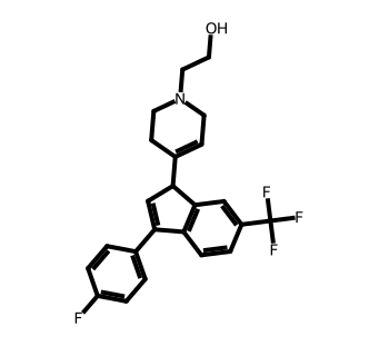 OCCN1CC=C(C2C=C(c3ccc(F)cc3)c3ccc(C(F)(F)F)cc32)CC1